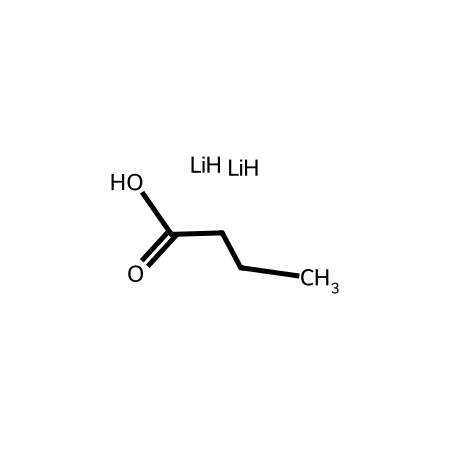 CCCC(=O)O.[LiH].[LiH]